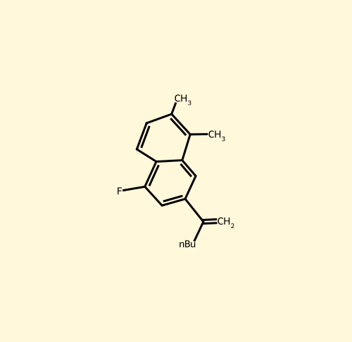 C=C(CCCC)c1cc(F)c2ccc(C)c(C)c2c1